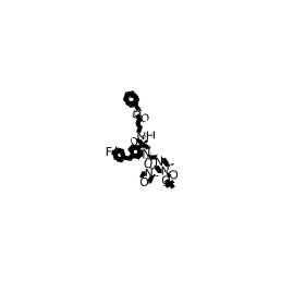 C[C@@H]1COCCN1C[C@H]1CN(C(=O)OC(C)(C)C)[C@@H](C)CN1CC(=O)N1C[C@@](C)(C(=O)NCCCC(=O)OCc2ccccc2)c2ccc(Cc3ccc(F)cc3)cc21